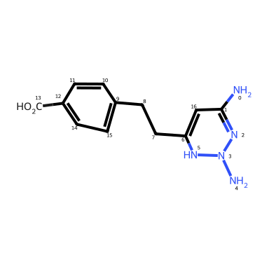 NC1=NN(N)NC(CCc2ccc(C(=O)O)cc2)=C1